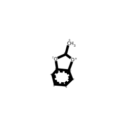 C[C]1Oc2ccccc2O1